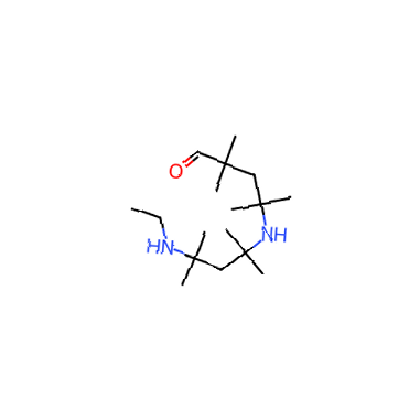 CCNC(C)(C)CC(C)(C)NC(C)(C)CC(C)(C)C=O